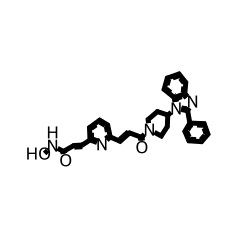 O=C(/C=C/c1cccc(/C=C/C(=O)N2CCC(n3c(-c4ccccc4)nc4ccccc43)CC2)n1)NO